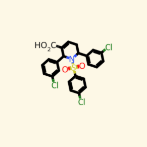 O=C(O)C1=CCC(c2cccc(Cl)c2)N(S(=O)(=O)c2ccc(Cl)cc2)C1c1cccc(Cl)c1